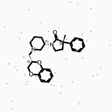 C[C@@]1(c2ccccc2)CCN([C@H]2CCCN(C[C@H]3COc4ccccc4O3)C2)C1=O